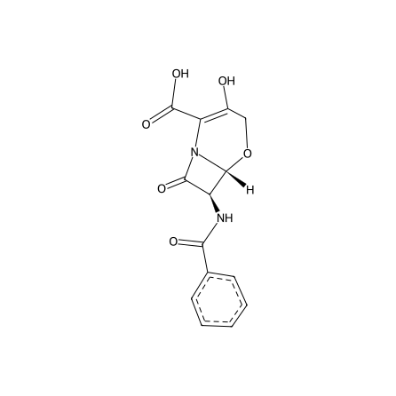 O=C(O)C1=C(O)CO[C@@H]2[C@@H](NC(=O)c3ccccc3)C(=O)N12